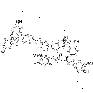 CCN(Cc1ccncc1)C(=O)C(CO)c1ccccc1.COc1cc(/C=C/C(=O)CC(=O)/C=C/c2ccc(O)c(OC)c2)ccc1O.O=C(c1ccc(OCCN2CCCCC2)cc1)c1c(-c2ccc(O)cc2)sc2cc(O)ccc12